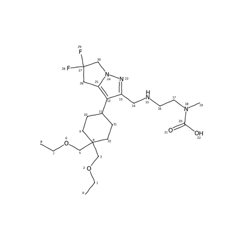 CCOCC1(COCC)CCC(c2c(CNCCN(C)C(=O)O)nn3c2CC(F)(F)C3)CC1